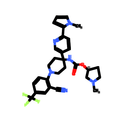 CN1CC[C@H](OC(=O)NC2(c3ccc(-c4cccn4C)nc3)CCN(c3ccc(C(F)(F)F)cc3C#N)CC2)C1